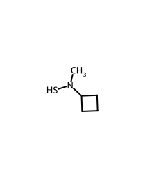 CN(S)C1CCC1